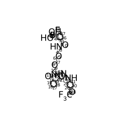 O=C(NCCOCCOCCNC(=O)c1ccccc1-c1cc(Nc2ccc(OC(F)(F)F)cc2)ncn1)c1ccc(F)c(B(O)O)c1